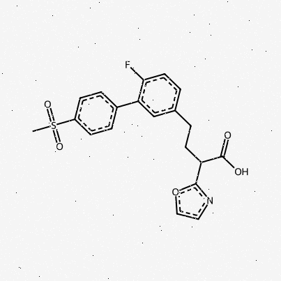 CS(=O)(=O)c1ccc(-c2cc(CCC(C(=O)O)c3ncco3)ccc2F)cc1